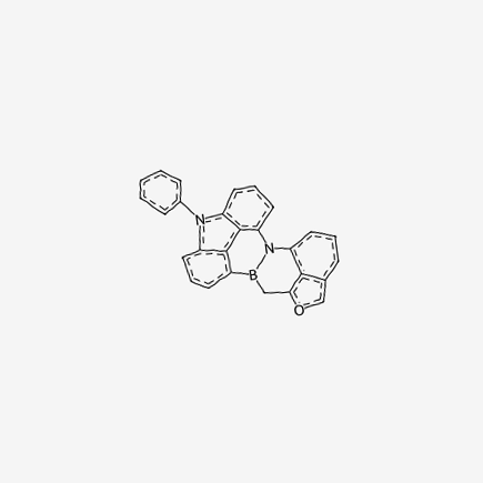 c1ccc(-n2c3cccc4c3c3c(cccc32)N2B4Cc3occ4cccc2c34)cc1